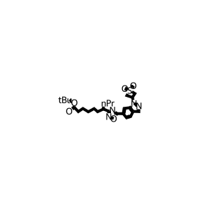 CCCC(CCCCCC(=O)OC(C)(C)C)c1noc(-c2ccc3cnn(C4CS(=O)(=O)C4)c3c2)n1